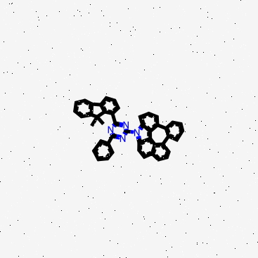 CC1(C)c2ccccc2-c2cccc(-c3nc(-c4ccccc4)nc(-n4c5cccc6c5c5c7c(cccc7ccc54)-c4ccccc4-6)n3)c21